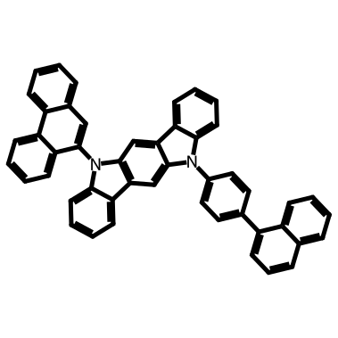 c1ccc2c(-c3ccc(-n4c5ccccc5c5cc6c(cc54)c4ccccc4n6-c4cc5ccccc5c5ccccc45)cc3)cccc2c1